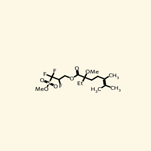 CCC(CCC(C)=C(C)C)(OC)C(=O)OCC(F)C(F)(F)S(=O)(=O)OC